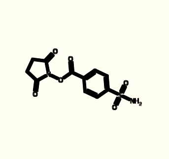 NS(=O)(=O)c1ccc(C(=O)ON2C(=O)CCC2=O)cc1